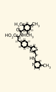 Cc1ccnc(NCc2nc(-c3ccc(CC(NC(=O)c4c(C)cc(C)cc4C)C(=O)O)cc3)cs2)c1